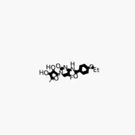 CCOc1ccc(C(=O)Nc2nc(=O)n([C@@H]3O[C@H](C)C(O)C3O)cc2F)cc1